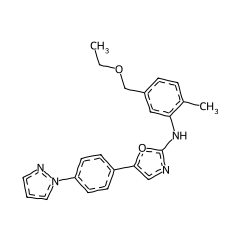 CCOCc1ccc(C)c(Nc2ncc(-c3ccc(-n4cccn4)cc3)o2)c1